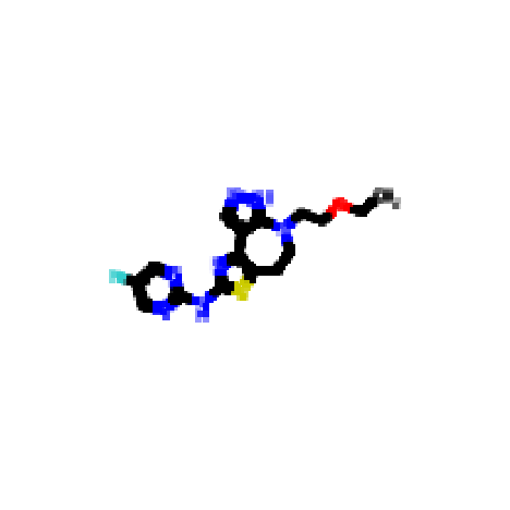 CCOCCN1CCc2sc(Nc3ncc(F)cn3)nc2-c2cn[nH]c21